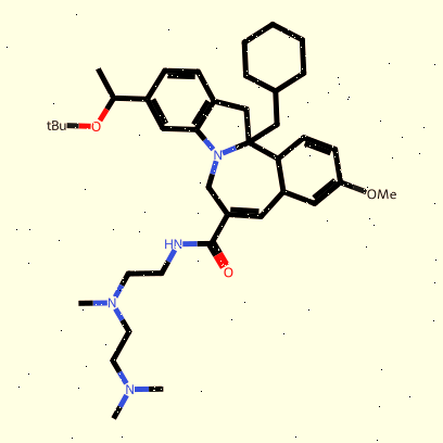 COC1=CC2C=C(C(=O)NCCN(C)CCN(C)C)CN3c4cc(C(C)OC(C)(C)C)ccc4CC3(CC3CCCCC3)C2C=C1